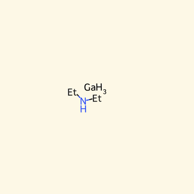 CCNCC.[GaH3]